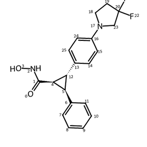 O=C(NO)[C@@H]1[C@H](c2ccccc2)[C@H]1c1ccc(N2CCC(F)(F)C2)cc1